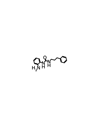 Nc1ccccc1NC(=O)NCCCc1ccccc1